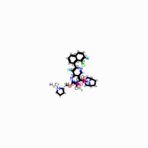 CN1CCC[C@H]1COc1nc(N2CC3CCC(C2)N3C(=O)OC(C)(C)C)c2cnc(-c3cccc4ccc(F)c(Cl)c34)c(F)c2n1